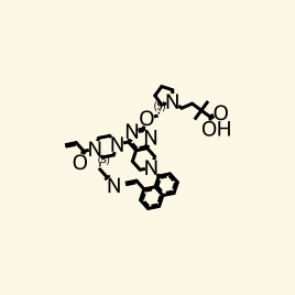 C=CC(=O)N1CCN(c2nc(OC[C@@H]3CCCN3CCC(C)(C)C(=O)O)nc3c2CCN(c2cccc4cccc(C=C)c24)C3)C[C@@H]1CC#N